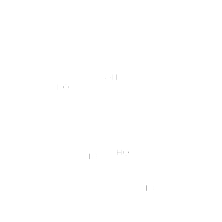 CCCCCCC(O)CO.OCC(CO)CO